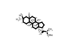 CON(C)C(=O)[C@H]1CC[C@H]2[C@@H]3CC[C@H]4C[C@](C)(O)CC[C@]4(C)[C@H]3CC[C@]12C